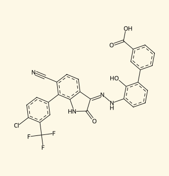 N#Cc1ccc2c(c1-c1ccc(Cl)c(C(F)(F)F)c1)NC(=O)C2=NNc1cccc(-c2cccc(C(=O)O)c2)c1O